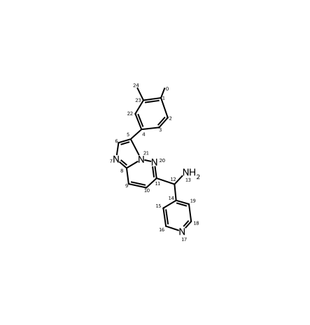 Cc1ccc(-c2cnc3ccc(C(N)c4ccncc4)nn23)cc1C